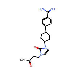 COC(=O)CCn1ccn(C2CCC(c3ccc(C(=N)N)cc3)CC2)c1=O